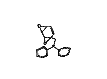 C1=CC2(CP(c3ccccc3)c3ccccc3)OC2C2OC12